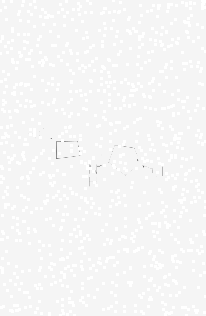 CN1CC[C@H](N[C@H]2C[C@H](O)C2)C1